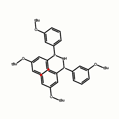 CC(C)(C)Oc1cccc(P(NP(c2cccc(OC(C)(C)C)c2)c2cccc(OC(C)(C)C)c2)c2cccc(OC(C)(C)C)c2)c1